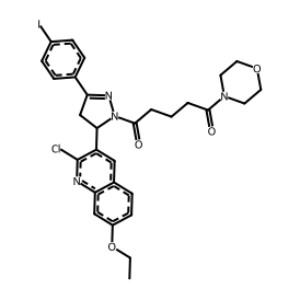 CCOc1ccc2cc(C3CC(c4ccc(I)cc4)=NN3C(=O)CCCC(=O)N3CCOCC3)c(Cl)nc2c1